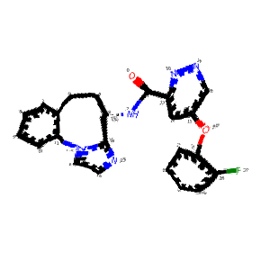 O=C(N[C@H]1CCc2ccccc2-n2ccnc21)c1cc(Oc2ccccc2F)cnn1